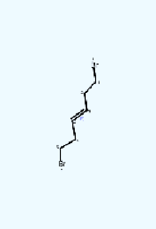 BrCC/C=C/CCBr